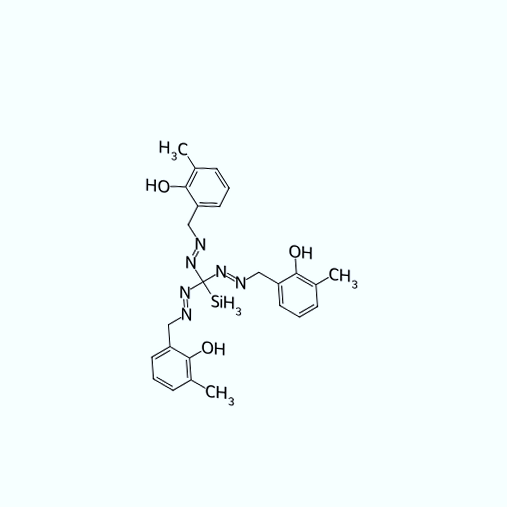 Cc1cccc(C/N=N/C([SiH3])(/N=N/Cc2cccc(C)c2O)/N=N/Cc2cccc(C)c2O)c1O